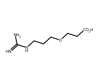 N=C(N)NCCCOCCC(=O)O